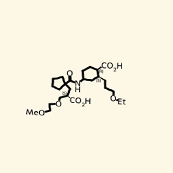 CCOCCC[C@H]1CC(NC(=O)C2(C[C@@H](COCCOC)C(=O)O)CCCC2)CC[C@H]1C(=O)O